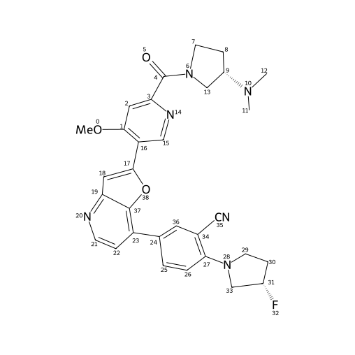 COc1cc(C(=O)N2CC[C@H](N(C)C)C2)ncc1-c1cc2nccc(-c3ccc(N4CC[C@H](F)C4)c(C#N)c3)c2o1